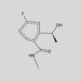 CNC(=O)c1ccc(F)cc1[C@H](C)O